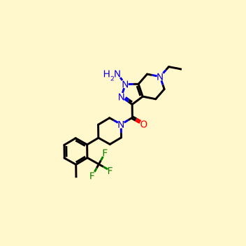 CCN1CCc2c(C(=O)N3CCC(c4cccc(C)c4C(F)(F)F)CC3)nn(N)c2C1